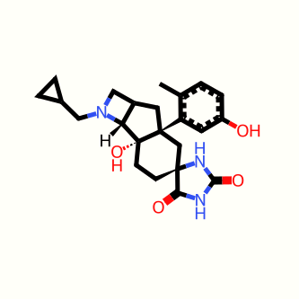 Cc1ccc(O)cc1[C@]12CC3CN(CC4CC4)[C@H]3[C@]1(O)CC[C@@]1(C2)NC(=O)NC1=O